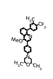 COc1c(-c2ccc(N3C[C@@H](C)O[C@@H](C)C3)cc2)cnc2c(-c3ccc(C(F)(F)F)c(C)c3)cccc12